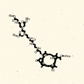 CCCCCCOC(C)c1c(C)c2cc3nc(c4c5[nH]c(cc6nc(cc1[nH]2)C(C)=C6CC)c(C)c5C(=O)C4)[C@@H](CCC(=O)NCCNC(=O)CNCCN(CCN(CCNCC(=O)OC(C)(C)C)CC(=O)OC(C)(C)C)CC(=O)OC(C)(C)C)C3C